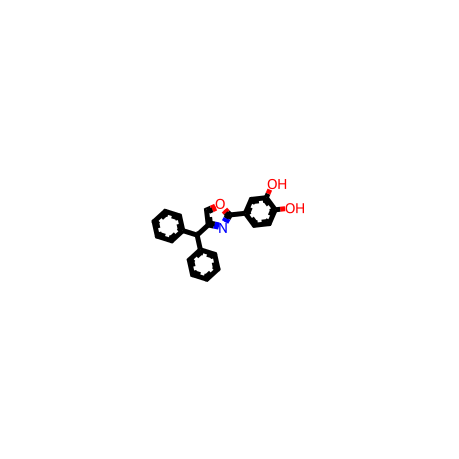 Oc1ccc(-c2nc([C](c3ccccc3)c3ccccc3)co2)cc1O